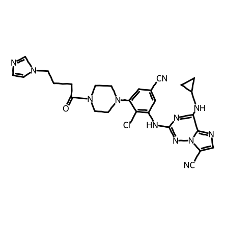 N#Cc1cc(Nc2nc(NC3CC3)c3ncc(C#N)n3n2)c(Cl)c(N2CCN(C(=O)CCCn3ccnc3)CC2)c1